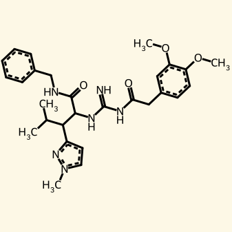 COc1ccc(CC(=O)NC(=N)NC(C(=O)NCc2ccccc2)C(c2ccn(C)n2)C(C)C)cc1OC